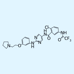 O=C(Nc1cnc(Nc2cccc(OCCN3CCCC3)c2)nc1)c1cc(NC(=O)C(F)(F)F)ccc1Cl